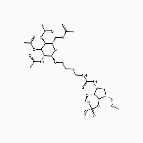 COC[C@H]1C[C@@H](NC(=S)NCCCCO[C@@H]2O[C@H](COC(C)=O)[C@H](OC(C)=O)[C@H](OC(C)=O)[C@H]2NC(C)=O)[C@@H](OC)C1OP(=O)(O)OC